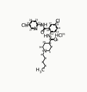 CCCCCN1CCC(C(=O)Nc2ccc(Cl)cc2C(=O)Nc2ccc(Cl)cn2)CC1.Cl